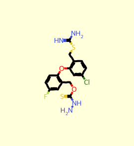 N=C(N)SCc1ccc(Cl)cc1Oc1ccc(F)cc1COC(=S)NN